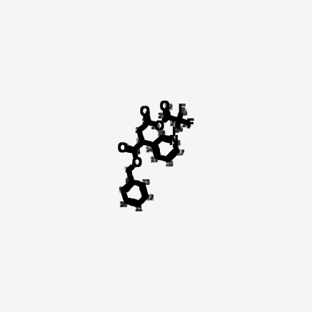 O=C(CC(C(=O)OCc1ccccc1)c1cccnc1)OC(=O)C(F)(F)F